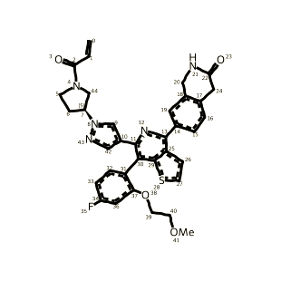 C=CC(=O)N1CC[C@H](n2cc(-c3nc(-c4ccc5c(c4)CNC(=O)C5)c4ccsc4c3-c3ccc(F)cc3OCCOC)cn2)C1